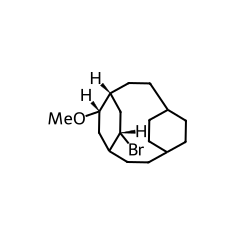 CO[C@H]1CC2CCC3CCC(CC3)CC[C@@H]1C[C@@H]2Br